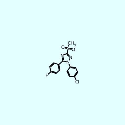 CS(=O)(=O)c1nc(-c2ccc(F)cc2)n(-c2ccc(Cl)cc2)n1